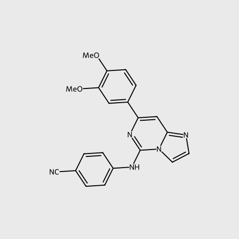 COc1ccc(-c2cc3nccn3c(Nc3ccc(C#N)cc3)n2)cc1OC